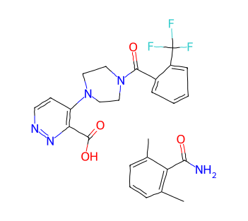 Cc1cccc(C)c1C(N)=O.O=C(O)c1nnccc1N1CCN(C(=O)c2ccccc2C(F)(F)F)CC1